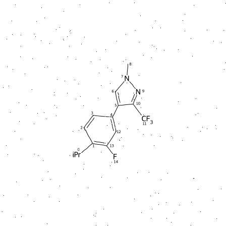 CC(C)c1ccc(-c2cn(C)nc2C(F)(F)F)cc1F